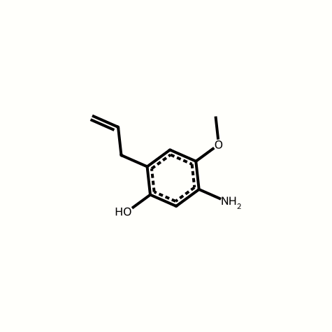 C=CCc1cc(OC)c(N)cc1O